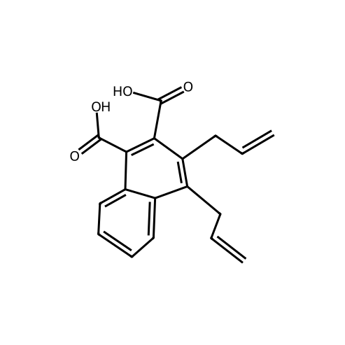 C=CCc1c(C(=O)O)c(C(=O)O)c2ccccc2c1CC=C